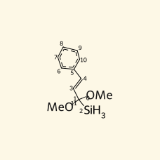 COC([SiH3])(C=Cc1ccccc1)OC